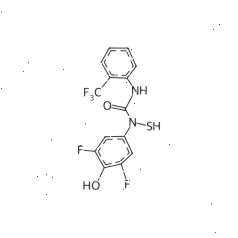 O=C(Nc1ccccc1C(F)(F)F)N(S)c1cc(F)c(O)c(F)c1